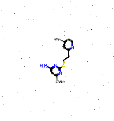 CCCc1ccnc(CCSc2nc(N)cc(SC)n2)c1